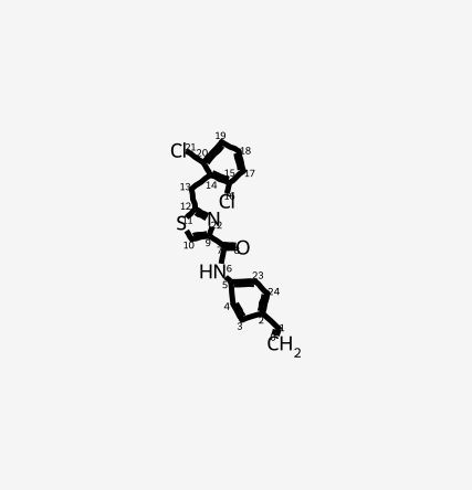 C=Cc1ccc(NC(=O)c2csc(Cc3c(Cl)cccc3Cl)n2)cc1